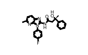 Cc1ccc2nc(NC(=O)C[C@](C)(O)c3ccccc3)n(-c3ccc(F)cc3)c2n1